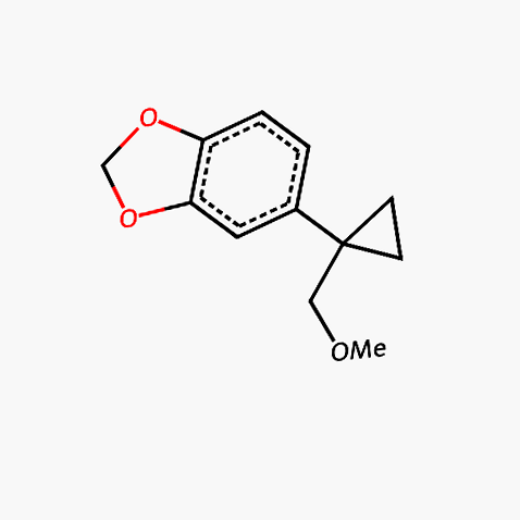 COCC1(c2ccc3c(c2)OCO3)CC1